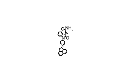 NC(=O)C1CC12C(=O)N(C1CCN(C3Cc4cccc5cccc3c45)CC1)c1ccccc12